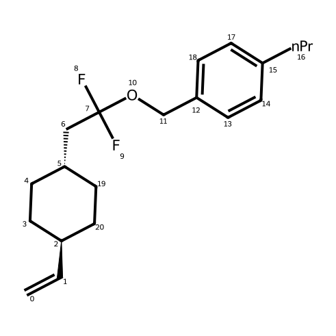 C=C[C@H]1CC[C@H](CC(F)(F)OCc2ccc(CCC)cc2)CC1